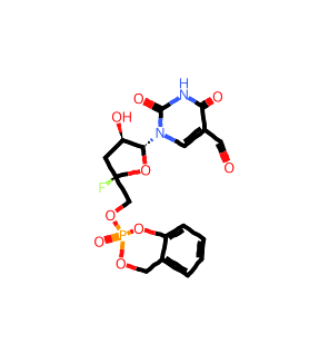 O=Cc1cn([C@@H]2O[C@](F)(COP3(=O)OCc4ccccc4O3)C[C@H]2O)c(=O)[nH]c1=O